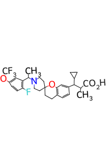 CC(C(=O)O)C(c1ccc2c(c1)OC1(CC2)CCN(C(C)c2cc(OC(F)(F)F)ccc2F)CC1)C1CC1